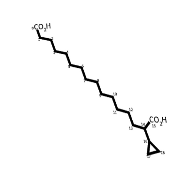 O=C(O)CCCCCCCCCCCCCC(C(=O)O)C1CC1